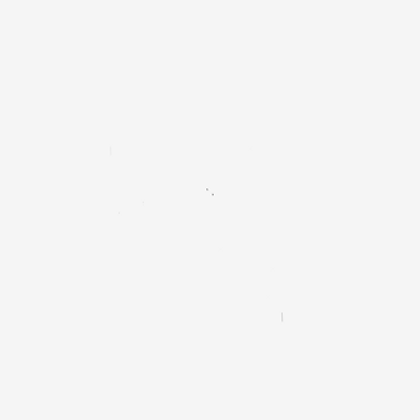 CC1CN(Cc2ccccc2)C(c2ccc(F)c(F)c2)CC1=O